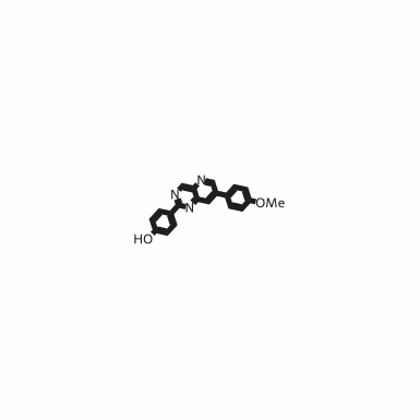 COc1ccc(-c2cnc3cnc(-c4ccc(O)cc4)nc3c2)cc1